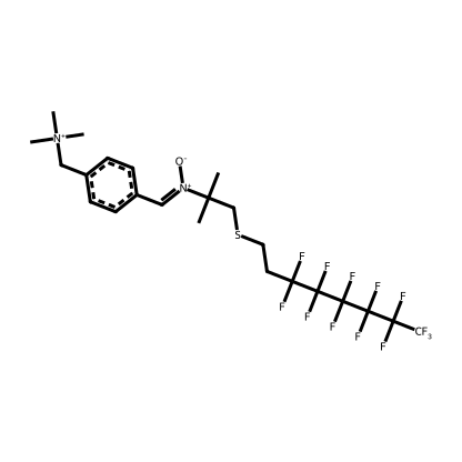 CC(C)(CSCCC(F)(F)C(F)(F)C(F)(F)C(F)(F)C(F)(F)C(F)(F)F)/[N+]([O-])=C/c1ccc(C[N+](C)(C)C)cc1